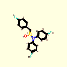 [O-][S+](Cc1ccc(F)cc1)N(c1ccc(F)cc1)c1ccc(F)cc1